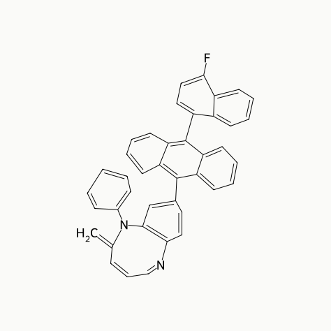 C=C1/C=C\C=N/c2ccc(-c3c4ccccc4c(-c4ccc(F)c5ccccc45)c4ccccc34)cc2N1c1ccccc1